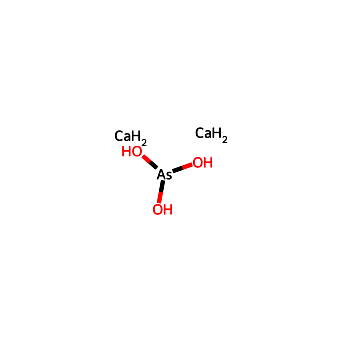 O[As](O)O.[CaH2].[CaH2]